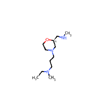 CCN(C)CCCN1CCO[C@@H](CNC)C1